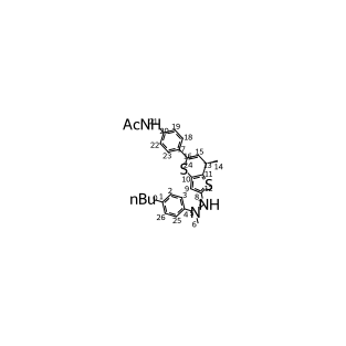 CCCCc1ccc(N(C)Nc2cc3c(s2)[C@H](C)C=C(c2ccc(NC(C)=O)cc2)S3)cc1